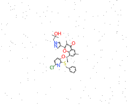 Cc1cc([C@@H](C)Oc2ccc(Cl)nc2SCc2ccccc2)c2oc(-c3cnn(CC(C)(C)O)c3)c(C)c(=O)c2c1